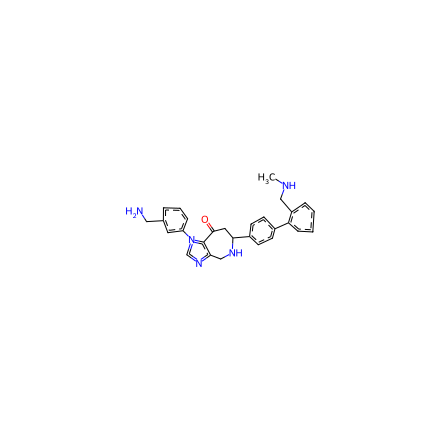 CNCc1ccccc1-c1ccc(C2CC(=O)c3c(ncn3-c3cccc(CN)c3)CN2)cc1